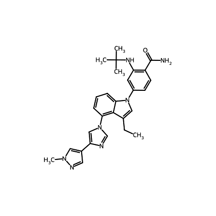 CCc1cn(-c2ccc(C(N)=O)c(NC(C)(C)C)c2)c2cccc(-n3cnc(-c4cnn(C)c4)c3)c12